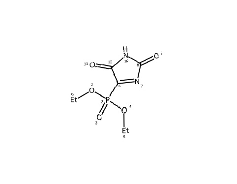 CCOP(=O)(OCC)C1=NC(=O)NC1=O